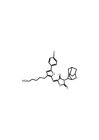 O=C1/C(=C\c2oc(-c3ccc(F)cc3)cc2CCCCCO)SC(=S)N1C1C2CC3CC(C2)CC1C3